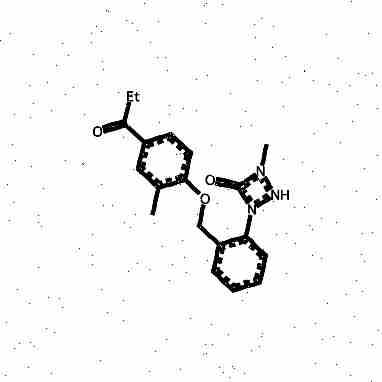 CCC(=O)c1ccc(OCc2ccccc2-n2[nH]n(C)c2=O)c(C)c1